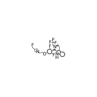 C[C@@H]1Cc2c([nH]c3ccccc23)[C@@H](c2c(F)cc(OCCN3CC(CF)C3)cc2F)N1CC(F)(F)F